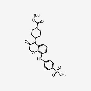 CC(C)(C)OC(=O)N1CCC(N2C(=O)COc3c(Nc4ccc(S(C)(=O)=O)cc4)cccc32)CC1